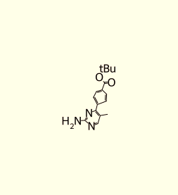 Cc1cnc(N)nc1-c1ccc(C(=O)OC(C)(C)C)cc1